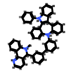 CN1c2ccccc2-c2ncccc2C1c1cccc(-c2cccc(N3c4ccccc4-c4c(n(-c5ccccc5)c5ccccc45)-c4ccccc43)c2)c1